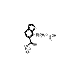 Cl.N=C(N)c1ccc2ccsc2c1.O.O.O.O.O.O.O